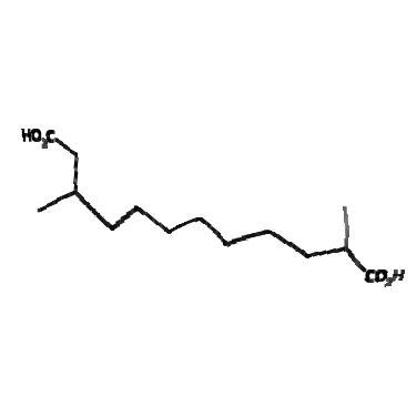 CC(CCCCCCCC(C)C(=O)O)CC(=O)O